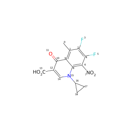 Cc1c(F)c(F)c([N+](=O)[O-])c2c1c(=O)c(C(=O)O)cn2C1CC1